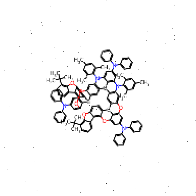 Cc1cc(C)c(N2c3cc4c(cc3B3c5cc6c(cc5N(c5c(C)cc(C)cc5C)c5cc(N(c7ccccc7)c7ccccc7)cc2c53)Oc2cc(N(c3ccccc3)c3ccccc3)cc3c2B6c2ccc5oc6c(C(C)(C)C)cccc6c5c2O3)B2c3ccc5oc6c(C(C)(C)C)cccc6c5c3Oc3cc(N(c5ccccc5)c5ccccc5)cc(c32)O4)c(C)c1